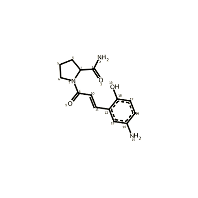 NC(=O)C1CCCN1C(=O)/C=C/c1cc(N)ccc1O